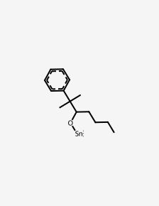 CCCCC([O][Sn])C(C)(C)c1ccccc1